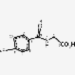 O=C(O)CNC(=O)c1ccc(F)cc1